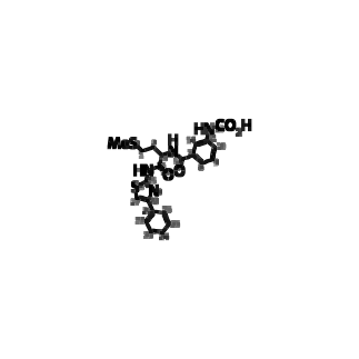 CSCCC(NC(=O)c1cccc(NC(=O)O)c1)C(=O)Nc1nc(-c2ccccc2)cs1